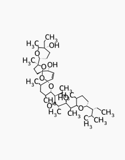 CC[C@H](C(C)C)[C@H]1CC[C@H](C)[C@H]([C@@H](C)[C@H](O)[C@H](C)C(=O)[C@H](CC)[C@H]2O[C@]3(C=C[C@@H](O)[C@]4(CC[C@@](C)([C@H]5CC[C@](O)(CC)[C@H](C)O5)O4)O3)[C@H](C)C[C@@H]2C)O1